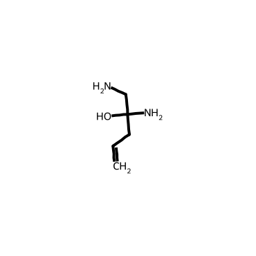 C=CCC(N)(O)CN